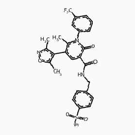 Cc1noc(C)c1-c1cc(C(=O)NCc2ccc(S(=O)(=O)C(C)C)cc2)c(=O)n(-c2cccc(C(F)(F)F)c2)c1C